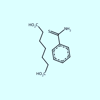 NC(=S)c1ccccc1.O=C(O)CCCCCC(=O)O